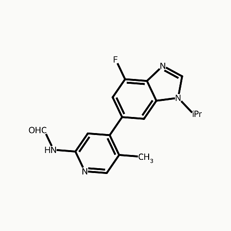 Cc1cnc(NC=O)cc1-c1cc(F)c2ncn(C(C)C)c2c1